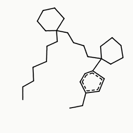 CCCCCCCC1(CCCCC2(c3ccc(CC)cc3)CCCCC2)CCCCC1